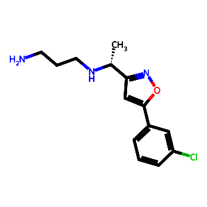 C[C@@H](NCCCN)c1cc(-c2cccc(Cl)c2)on1